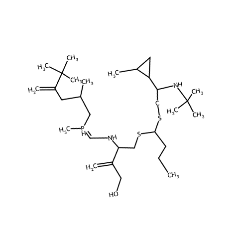 C=C(CO)C(CSC(CCC)SCC(NC(C)(C)C)C1CC1C)N/C=[PH](/C)CC(C)CC(=C)C(C)(C)C